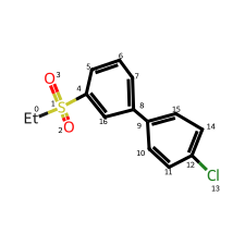 CCS(=O)(=O)c1[c]ccc(-c2ccc(Cl)cc2)c1